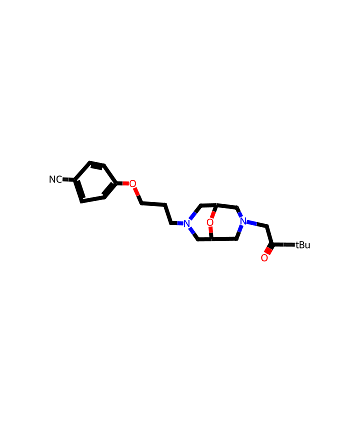 CC(C)(C)C(=O)CN1CC2CN(CCCOc3ccc(C#N)cc3)CC(C1)O2